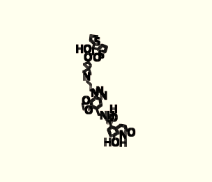 O=C(OC1CC2(C1)CN(CCCn1nnc3cc(CNC[C@H](O)c4ccc(O)c5[nH]c(=O)ccc45)c4c(c31)OCCO4)C2)C(O)(c1cccs1)c1cccs1